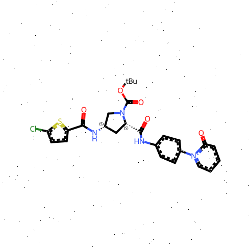 CC(C)(C)OC(=O)N1C[C@@H](NC(=O)c2ccc(Cl)s2)C[C@H]1C(=O)Nc1ccc(-n2ccccc2=O)cc1